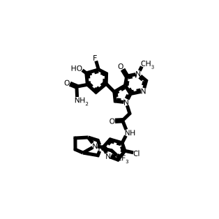 Cn1cnc2c(c(-c3cc(F)c(O)c(C(N)=O)c3)cn2CC(=O)Nc2cc(N3C4CCC3CN(CC(F)(F)F)C4)ncc2Cl)c1=O